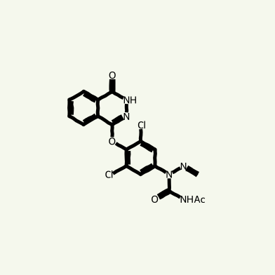 C=NN(C(=O)NC(C)=O)c1cc(Cl)c(Oc2n[nH]c(=O)c3ccccc23)c(Cl)c1